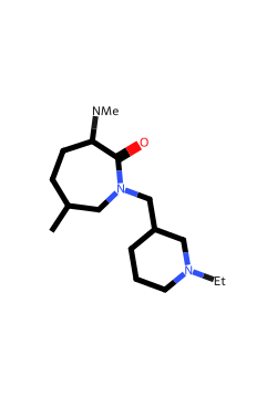 CCN1CCCC(CN2CC(C)CCC(NC)C2=O)C1